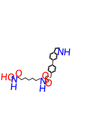 O=C(CCCCCCNS(=O)(=O)Cc1ccc(-c2ccc3cc[nH]c3c2)cc1)NO